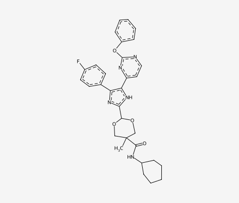 CC1(C(=O)NC2CCCCC2)COC(c2nc(-c3ccc(F)cc3)c(-c3ccnc(Oc4ccccc4)n3)[nH]2)OC1